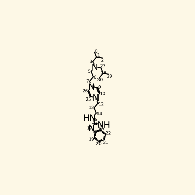 CC(C)CN(CCCN1C=CN(CCCNc2nc3ccccc3[nH]2)C=C1)CC(C)C